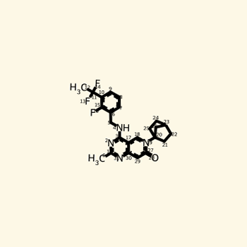 Cc1nc(NCc2cccc(C(C)(F)F)c2F)c2cn(C34CCC(CC3)C4)c(=O)cc2n1